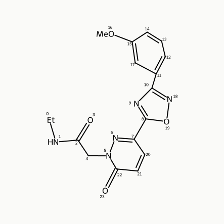 CCNC(=O)Cn1nc(-c2nc(-c3cccc(OC)c3)no2)ccc1=O